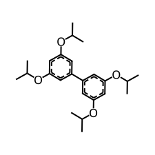 CC(C)Oc1cc(OC(C)C)cc(-c2cc(OC(C)C)cc(OC(C)C)c2)c1